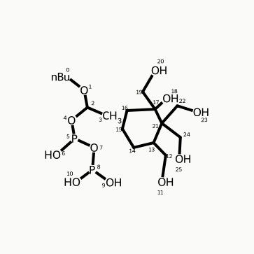 CCCCOC(C)OP(O)OP(O)O.OCC1CCCC(O)(CO)C1(CO)CO